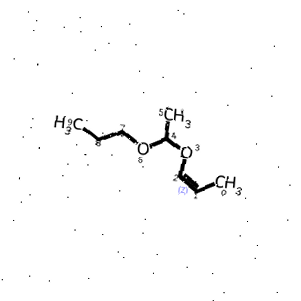 C/C=C\OC(C)O[CH]CC